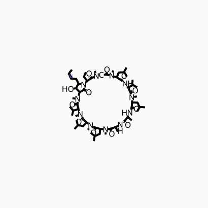 C/C=C\CC1C(O)C2C(=O)N1C(CC)C(=O)N(C)CC(=O)N(C)C(CC(C)C)C(=O)NC(C(C)C)C(=O)N(C)C(CC(C)C)C(=O)NC(C)C(=O)NC(C)C(=O)N(C)C(CC(C)C)C(=O)N(C)C(CC(C)C)C(=O)N(C)C(C(C)C)C(=O)N2C